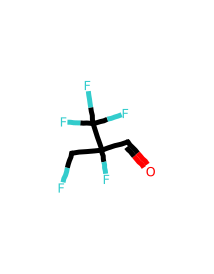 O=CC(F)(CF)C(F)(F)F